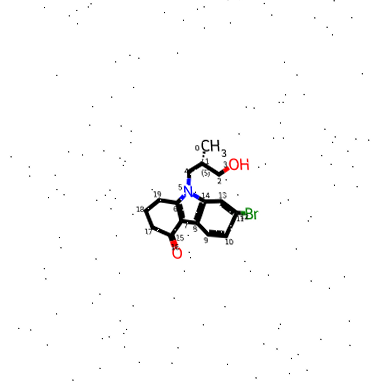 C[C@H](CO)Cn1c2c(c3ccc(Br)cc31)C(=O)CCC2